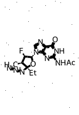 CC[C@@]1(N=[N+]=[N-])O[C@@H](n2cnc3c(=O)[nH]c(NC(C)=O)nc32)[C@H](F)[C@@H]1C